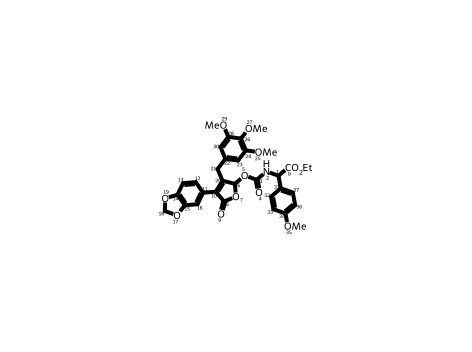 CCOC(=O)C(NC(=O)OC1OC(=O)C(c2ccc3c(c2)OCO3)=C1Cc1cc(OC)c(OC)c(OC)c1)c1ccc(OC)cc1